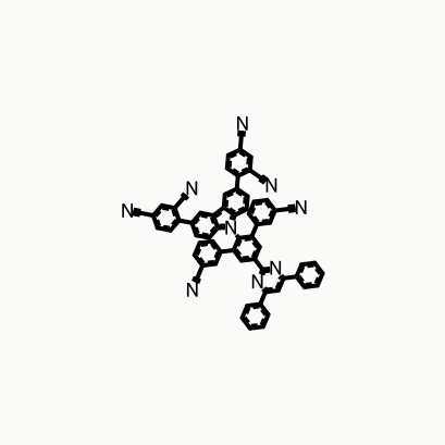 N#Cc1cccc(-c2cc(-c3nc(-c4ccccc4)cc(-c4ccccc4)n3)cc(-c3cccc(C#N)c3)c2-n2c3ccc(-c4ccc(C#N)cc4C#N)cc3c3cc(-c4ccc(C#N)cc4C#N)ccc32)c1